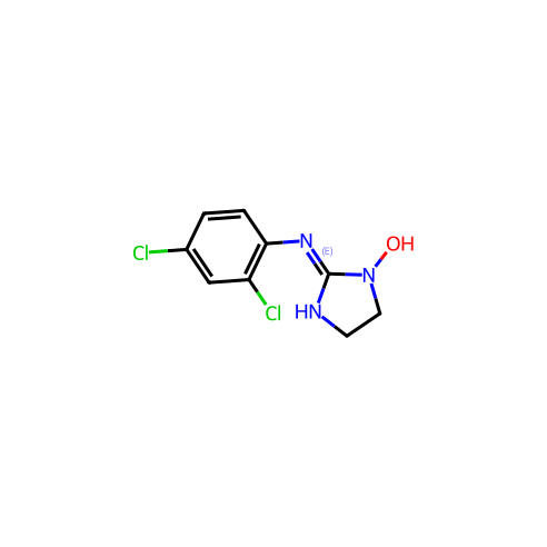 ON1CCN/C1=N\c1ccc(Cl)cc1Cl